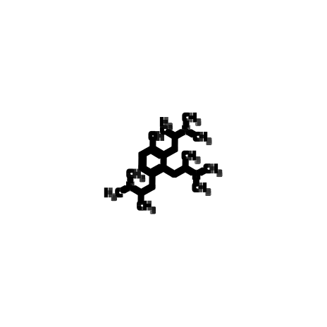 CC(Cc1ccc(O)c(CC(C)N(C)C)c1CC(C)N(C)C)N(C)C